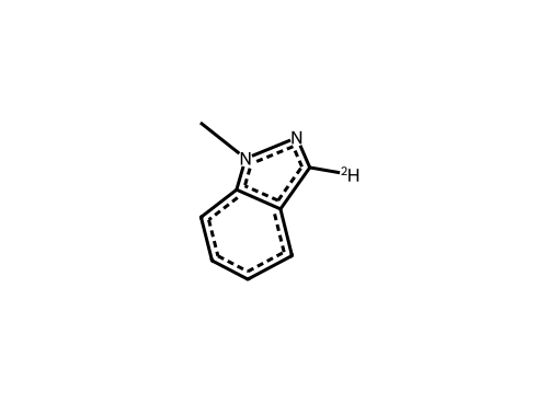 [2H]c1nn(C)c2ccccc12